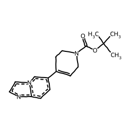 CC(C)(C)OC(=O)N1CC=C(c2ccc3nccn3c2)CC1